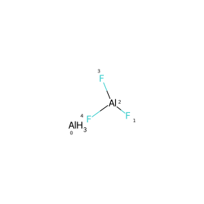 [AlH3].[F][Al]([F])[F]